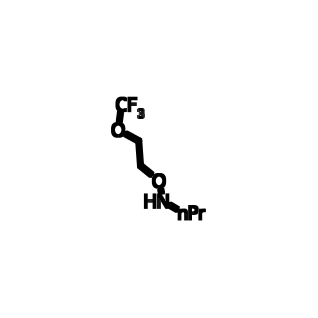 CCCNOCCOC(F)(F)F